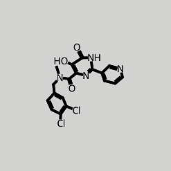 CN(Cc1ccc(Cl)c(Cl)c1)C(=O)c1nc(-c2cccnc2)[nH]c(=O)c1O